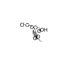 CCCCS(=O)(=O)N1CCN(Cc2cc(CC(=O)O)ccc2OCc2ccc(Cl)cc2)CC1